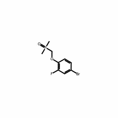 CP(C)(=O)COc1ccc(Br)cc1F